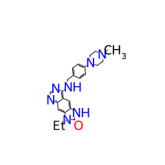 CCn1c(=O)[nH]c2cc3c(NCc4ccc(N5CCN(C)CC5)cc4)ncnc3cc21